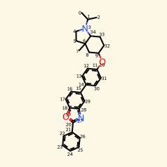 CC(C)N1CCC2(C)CC(Oc3ccc(-c4ccc5oc(-c6ccccc6)nc5c4)cc3)CCC12